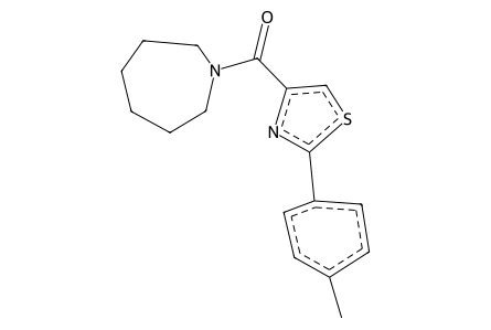 Cc1ccc(-c2nc(C(=O)N3CCCCCC3)cs2)cc1